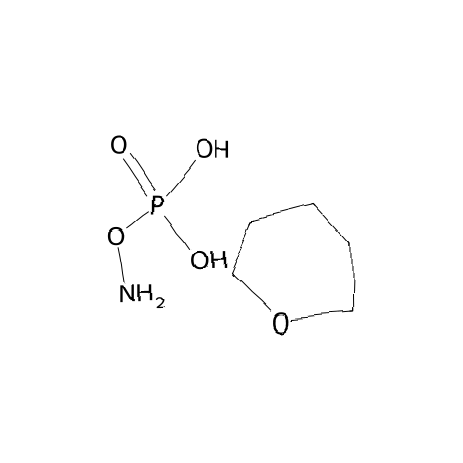 C1CCOCC1.NOP(=O)(O)O